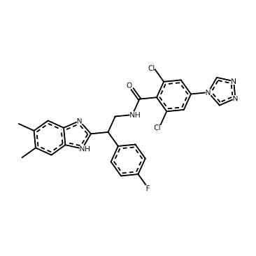 Cc1cc2nc(C(CNC(=O)c3c(Cl)cc(-n4cnnc4)cc3Cl)c3ccc(F)cc3)[nH]c2cc1C